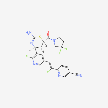 C[C@]1(c2cc(/C=C(\F)c3ccc(C#N)cn3)cnc2F)N=C(N)S[C@@]2(C(=O)N3CCC(F)(F)C3)C[C@H]21